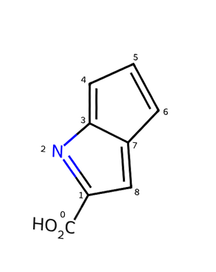 O=C(O)C1=NC2=CC=CC2=C1